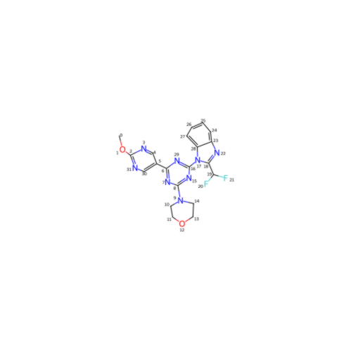 COc1ncc(-c2nc(N3CCOCC3)nc(-n3c(C(F)F)nc4ccccc43)n2)cn1